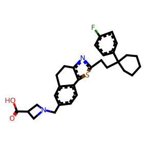 O=C(O)C1CN(Cc2ccc3c(c2)CCc2nc(CCC4(c5ccc(F)cc5)CCCCC4)sc2-3)C1